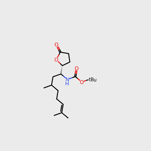 CC(C)=CCCC(C)CC(NC(=O)OC(C)(C)C)[C@H]1CCC(=O)O1